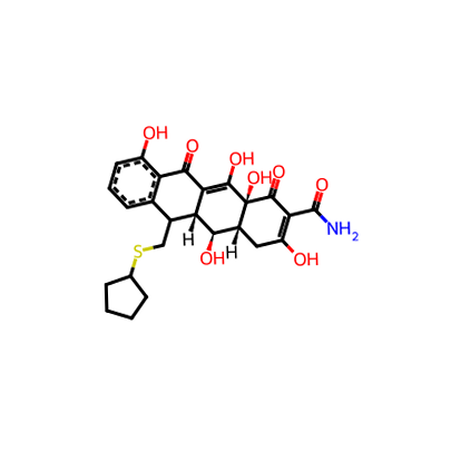 NC(=O)C1=C(O)C[C@@H]2[C@@H](O)[C@H]3C(=C(O)[C@]2(O)C1=O)C(=O)c1c(O)cccc1C3CSC1CCCC1